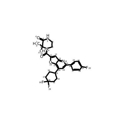 CC1(C)C(=O)NCCN1C(=O)c1cc2nc(-c3ccc(F)cc3)cc(C3CCC(F)(F)CC3)c2o1